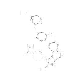 Cc1ccnc(Oc2ccc(-c3cc4c(cc3F)ncc3nc(C)n(C5CCN(C(N)=O)CC5)c34)c(F)c2)n1